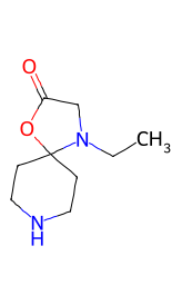 CCN1CC(=O)OC12CCNCC2